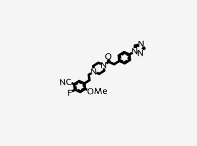 COc1cc(F)c(C#N)cc1CCN1CCN(C(=O)Cc2ccc(-n3cncn3)cc2)CC1